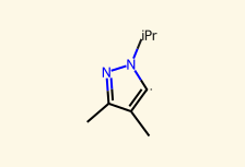 Cc1[c]n(C(C)C)nc1C